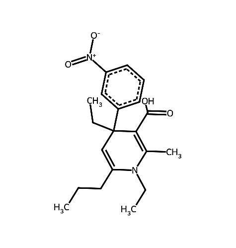 CCCC1=CC(CC)(c2cccc([N+](=O)[O-])c2)C(C(=O)O)=C(C)N1CC